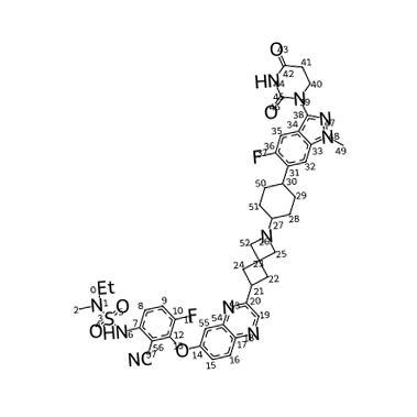 CCN(C)S(=O)(=O)Nc1ccc(F)c(Oc2ccc3ncc(C4CC5(C4)CN(C4CCC(c6cc7c(cc6F)c(N6CCC(=O)NC6=O)nn7C)CC4)C5)nc3c2)c1C#N